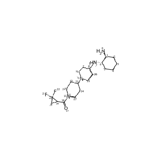 N[C@H]1CCCC[C@@H]1NC1CCN(C2CCN(C(=O)C3CC3(F)F)CC2)CC1